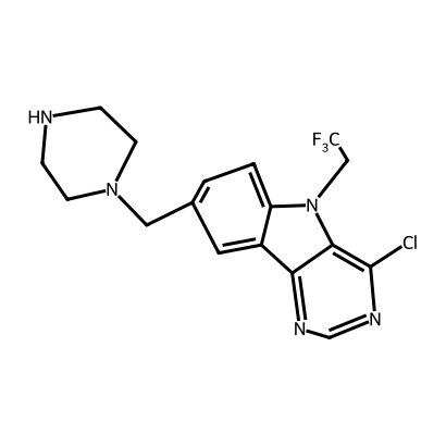 FC(F)(F)Cn1c2ccc(CN3CCNCC3)cc2c2ncnc(Cl)c21